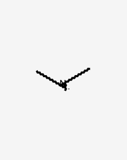 C[CH]c1cc(CCCCCCCCCCCCCCCC)nc(CCCCCCCCCCCCCCCC)c1